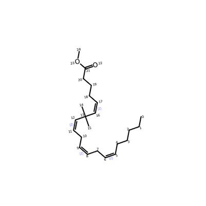 CCCCC/C=C\C/C=C\C/C=C\C(C)(C)/C=C\CCCC(=O)OC